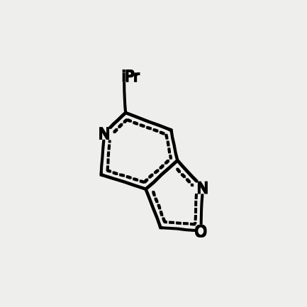 CC(C)c1cc2nocc2cn1